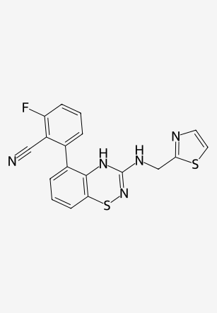 N#Cc1c(F)cccc1-c1cccc2c1NC(NCc1nccs1)=NS2